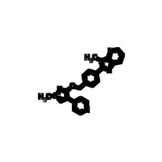 Cn1cc(-c2ccncc2)c(OCc2ccc(-c3nc4cccnc4n3C)cc2)n1